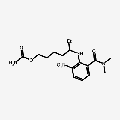 CCC(CCCCOC(N)=O)Nc1c(C(=O)N(C)C)cccc1[N+](=O)[O-]